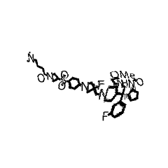 COC(=O)N[C@H]1CCC[C@@H]1C(CN1CCC1)(c1cccc(F)c1)C1CCN(CC2(F)CN(c3ccc(S(=O)(=O)C4CN(C(=O)CCCN(C)C)C4)cc3)C2)CC1